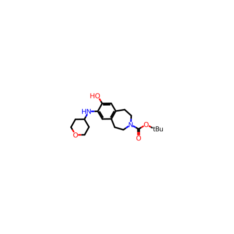 CC(C)(C)OC(=O)N1CCc2cc(O)c(NC3CCOCC3)cc2CC1